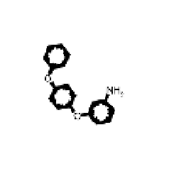 Nc1cccc(Oc2ccc(Oc3ccccc3)cc2)c1